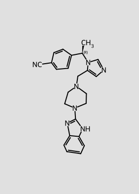 C[C@H](c1ccc(C#N)cc1)n1cncc1CN1CCN(c2nc3ccccc3[nH]2)CC1